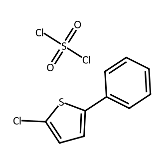 Clc1ccc(-c2ccccc2)s1.O=S(=O)(Cl)Cl